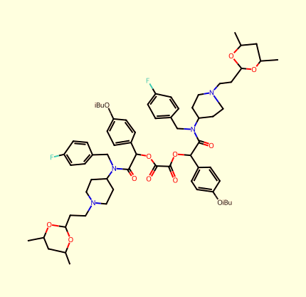 CC(C)COc1ccc(C(OC(=O)C(=O)OC(C(=O)N(Cc2ccc(F)cc2)C2CCN(CCC3OC(C)CC(C)O3)CC2)c2ccc(OCC(C)C)cc2)C(=O)N(Cc2ccc(F)cc2)C2CCN(CCC3OC(C)CC(C)O3)CC2)cc1